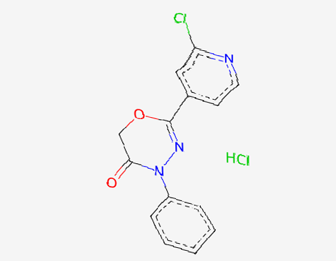 Cl.O=C1COC(c2ccnc(Cl)c2)=NN1c1ccccc1